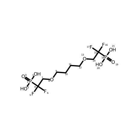 O=P(O)(O)C(F)(F)COCCCCOCC(F)(F)P(=O)(O)O